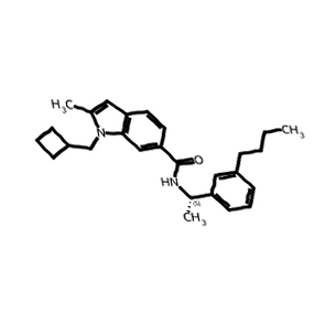 CCCCc1cccc([C@H](C)NC(=O)c2ccc3cc(C)n(CC4CCC4)c3c2)c1